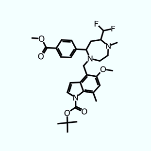 COC(=O)c1ccc(C2CC(C(F)F)N(C)CCN2Cc2c(OC)cc(C)c3c2ccn3C(=O)OC(C)(C)C)cc1